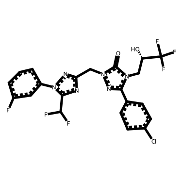 O=c1n(Cc2nc(C(F)F)n(-c3cccc(F)c3)n2)nc(-c2ccc(Cl)cc2)n1C[C@H](O)C(F)(F)F